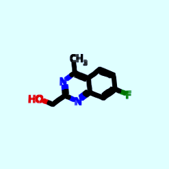 Cc1nc(CO)nc2cc(F)ccc12